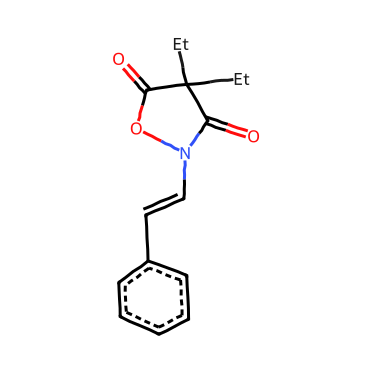 CCC1(CC)C(=O)ON(C=Cc2ccccc2)C1=O